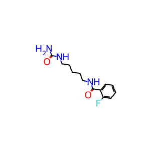 NC(=O)NCCCCCNC(=O)c1ccccc1F